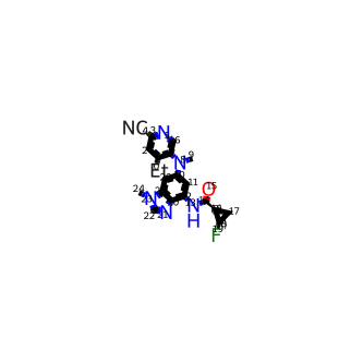 CCc1cc(C#N)ncc1N(C)c1cc(NC(=O)[C@H]2C[C@H]2F)c2ncn(C)c2c1